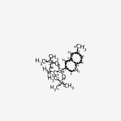 Cc1ccc2ncc([Si](C)(O[Si](C)(C)C)O[Si](C)(C)C)cc2c1